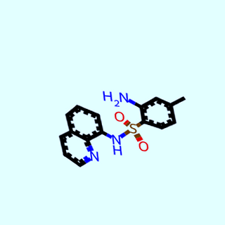 Cc1ccc(S(=O)(=O)Nc2cccc3cccnc23)c(N)c1